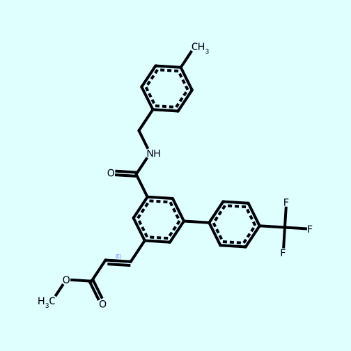 COC(=O)/C=C/c1cc(C(=O)NCc2ccc(C)cc2)cc(-c2ccc(C(F)(F)F)cc2)c1